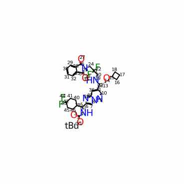 CC(C)(C)OC(=O)N[C@H](c1cn2ncc([C@@H](COC3CCC3)NCC(F)(F)CN3C(=O)c4ccccc4C3=O)cc2n1)C1CCC(F)(F)CC1